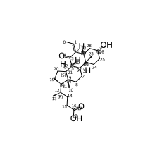 CC=C1C(=O)[C@@H]2[C@H](CC[C@]3(C)[C@@H]([C@H](C)CCC(=O)O)CC[C@@H]23)[C@@]2(C)CC[C@@H](O)C[C@@H]12